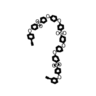 C#Cc1ccc(Oc2ccc(S(=O)(=O)c3ccc(Oc4ccc(Oc5ccc(S(=O)(=O)c6ccc(Oc7ccc(Oc8ccc(S(=O)(=O)c9ccc(Oc%10cccc(C#C)c%10)cc9)cc8)cc7)cc6)cc5)cc4)cc3)cc2)cc1